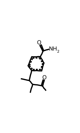 CC(=O)C(C)C(C)c1ccc(C(N)=O)cc1